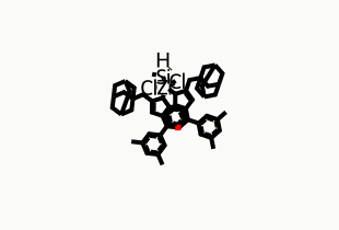 Cc1cc(C)cc(-c2cccc3c2C=C(CC24CC5CC(CC(C5)C2)C4)[CH]3[Zr]([Cl])([Cl])([CH]2C(CC34CC5CC(CC(C5)C3)C4)=Cc3c(-c4cc(C)cc(C)c4)cccc32)[SiH](C)C)c1